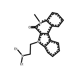 CCN(CC)CCn1c2ccccc2c2c3ccccc3n(C)c(=O)c21